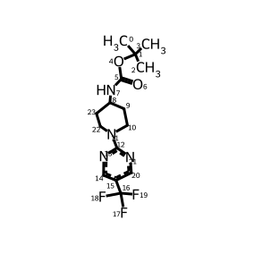 CC(C)(C)OC(=O)NC1CCN(c2ncc(C(F)(F)F)cn2)CC1